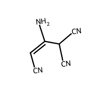 N#C/C=C(/N)C(C#N)C#N